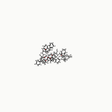 CCC1(CC[Si](C)(C)O[Si](O[SiH](C)C)(O[SiH](C)C)c2ccccc2)C[Si]1(C)O[Si](O[Si](C)(C)CC[Si](C)(C)O[Si](O[Si](C)(C)CCC(C)[Si](C)(C)O[Si](C)(c1ccccc1)c1ccccc1)(c1ccccc1)c1ccccc1)(c1ccccc1)c1ccccc1